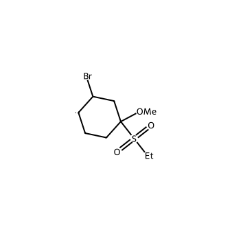 CCS(=O)(=O)C1(OC)CC[CH]C(Br)C1